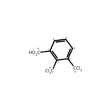 O=C(O)c1cccc(C(Cl)(Cl)Cl)c1C(Cl)(Cl)Cl